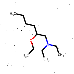 CCCCC(CN(CC)CC)OCC